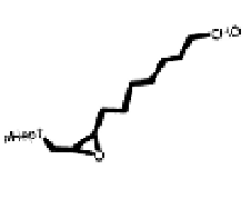 CCCCCCCCC1OC1CCCCCCC[C]=O